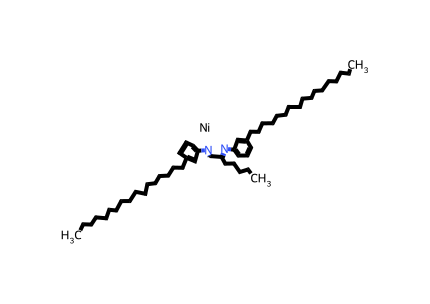 CCCCCCCCCCCCCCCCCc1cccc(N=CC(CCCCC)=Nc2cccc(CCCCCCCCCCCCCCCCC)c2)c1.[Ni]